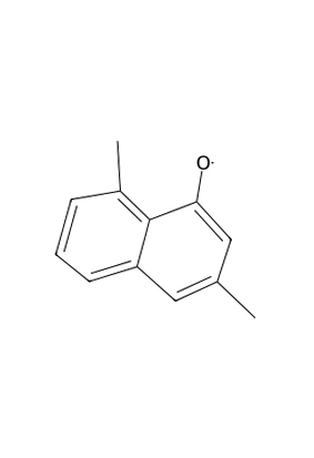 Cc1cc([O])c2c(C)cccc2c1